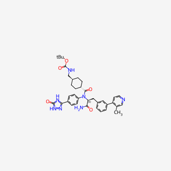 Cc1cnccc1-c1cccc(C[C@@H](C(N)=O)N(c2ccc(-c3n[nH]c(=O)[nH]3)cc2)C(=O)[C@H]2CC[C@H](CNC(=O)OC(C)(C)C)CC2)c1